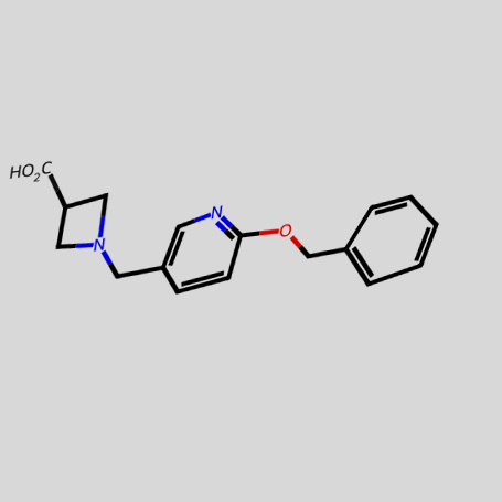 O=C(O)C1CN(Cc2ccc(OCc3ccccc3)nc2)C1